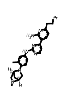 Cc1cc(Nc2nccc(-c3ccc(CCC(C)C)nc3N)n2)ccc1N1C[C@@H]2C[C@H]1CN2C